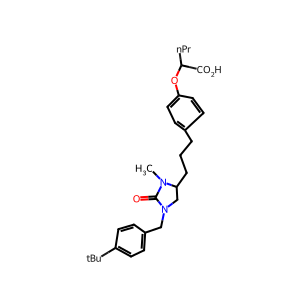 CCCC(Oc1ccc(CCCC2CN(Cc3ccc(C(C)(C)C)cc3)C(=O)N2C)cc1)C(=O)O